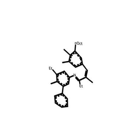 CCCCCCCCc1cc(C=C(C)C(CC)=Nc2cc(CC)c(C)c(-c3ccccc3)c2)cc(C)c1C